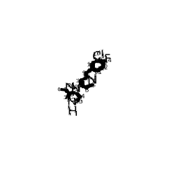 Cc1nn(-c2ccnc(Cc3ccc(F)c(Cl)c3)c2)c2c1CNCC2